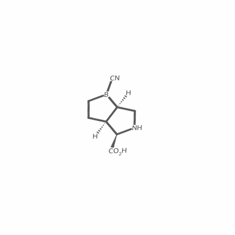 N#CB1CC[C@H]2[C@@H]1CN[C@H]2C(=O)O